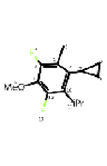 COc1c(F)c(C)c(C2CC2)c(C(C)C)c1F